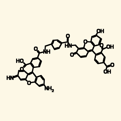 N=c1ccc2c(-c3ccc(C(=O)NCc4ccc(C(=O)NCc5c6oc7cc(O)ccc7c(-c7ccc(C(=O)O)cc7C(=O)O)c-6ccc5=O)cc4)cc3C(=O)O)c3ccc(N)cc3oc-2c1